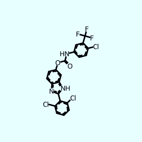 O=C(Nc1ccc(Cl)c(C(F)(F)F)c1)Oc1ccc2nc(-c3c(Cl)cccc3Cl)[nH]c2c1